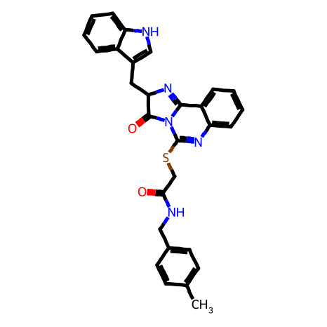 Cc1ccc(CNC(=O)CSC2=Nc3ccccc3C3=NC(Cc4c[nH]c5ccccc45)C(=O)N23)cc1